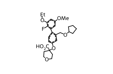 CCOc1cc(OC)cc(-c2ccc(OC3(C(=O)O)CCOCC3)cc2COC2CCCC2)c1F